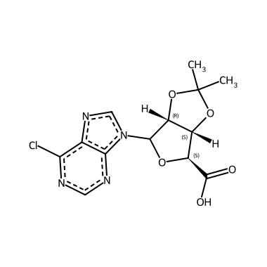 CC1(C)O[C@@H]2[C@@H](C(=O)O)OC(n3cnc4c(Cl)ncnc43)[C@@H]2O1